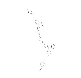 C=Cc1ccc(COCCc2ccc(N(c3ccc(/C=C/c4cccc(/C=C/c5ccc(N(c6ccc(CCOCc7ccc(C=C)cc7)cc6)c6ccc(C)c(C)c6)cc5)c4)cc3)c3ccc(C)c(C)c3)cc2)cc1